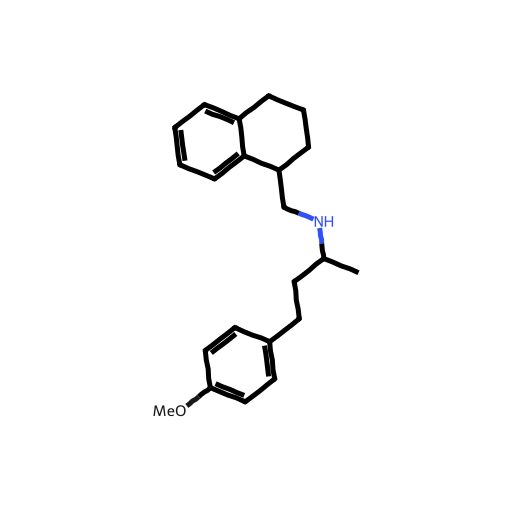 COc1ccc(CCC(C)NCC2CCCc3ccccc32)cc1